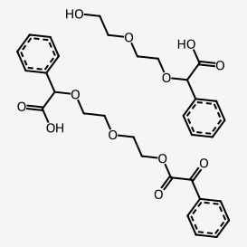 O=C(O)C(OCCOCCO)c1ccccc1.O=C(OCCOCCOC(C(=O)O)c1ccccc1)C(=O)c1ccccc1